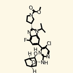 COC(=O)N1CC[C@@H](c2nc3c(F)cc(-c4nc(N[C@@H]5C[C@H]6CC[C@H](O6)[C@H]5O)ncc4Cl)cc3n2C(C)C)C1